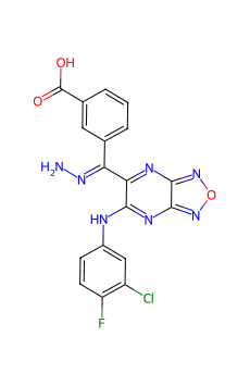 N/N=C(\c1cccc(C(=O)O)c1)c1nc2nonc2nc1Nc1ccc(F)c(Cl)c1